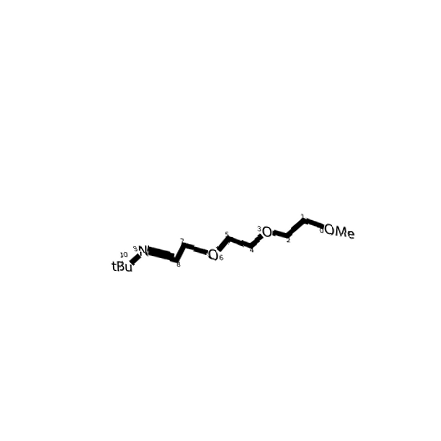 COCCOCCOC/C=N/C(C)(C)C